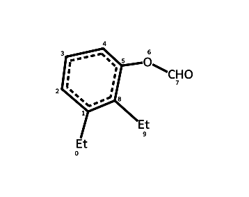 CCc1cccc(OC=O)c1CC